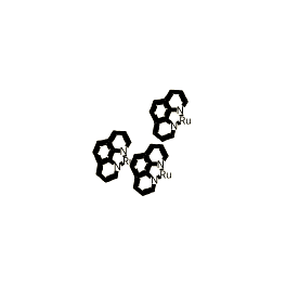 C1=C[N]2[Ru][N]3C=CC=c4ccc(c2c43)=C1.C1=C[N]2[Ru][N]3C=CC=c4ccc(c2c43)=C1.C1=C[N]2[Ru][N]3C=CC=c4ccc(c2c43)=C1